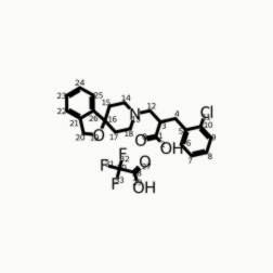 O=C(O)C(Cc1ccccc1Cl)CN1CCC2(CC1)OCc1ccccc12.O=C(O)C(F)(F)F